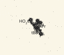 CCCSc1nc(N(C(=O)OC(C)(C)C)[C@@H]2C[C@H]2c2ccc(F)c(F)c2)c2nnn([C@@H]3C[C@H](COCc4ccccc4C(=O)O)O[C@H]3CO[Si](c3ccccc3)(c3ccccc3)C(C)(C)C)c2n1